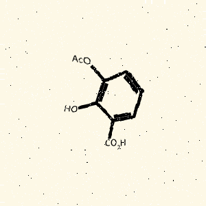 CC(=O)Oc1cccc(C(=O)O)c1O